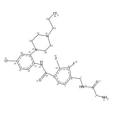 NCC(=O)NCc1ccc(C(=O)Nc2ccc(Cl)cc2N2CCN(CCC(F)(F)F)CC2)c(F)c1F